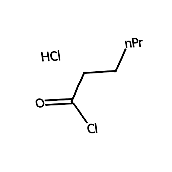 CCCCCC(=O)Cl.Cl